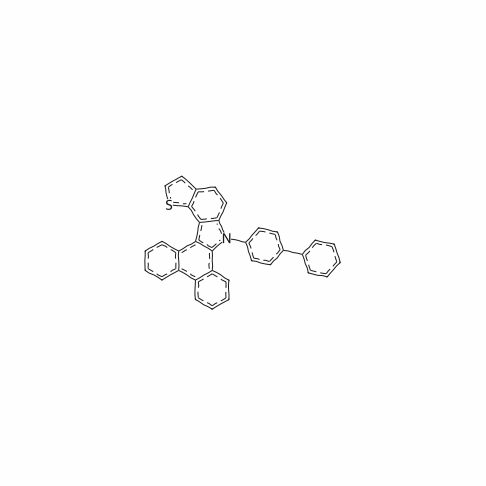 c1ccc(-c2ccc(-n3c4ccc5ccsc5c4c4c5ccccc5c5ccccc5c43)cc2)cc1